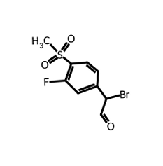 CS(=O)(=O)c1ccc(C(Br)C=O)cc1F